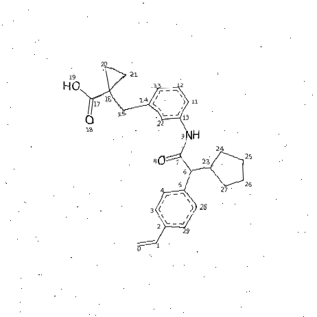 C=Cc1ccc(C(C(=O)Nc2cccc(CC3(C(=O)O)CC3)c2)C2CCCC2)cc1